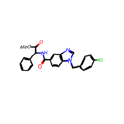 COC(=O)C(NC(=O)c1ccc2c(c1)ncn2Cc1ccc(Cl)cc1)c1ccccc1